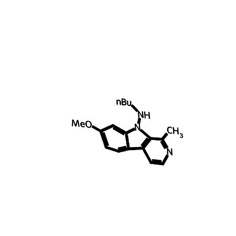 CCCCNn1c2cc(OC)ccc2c2ccnc(C)c21